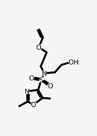 C=COCCN(CCO)S(=O)(=O)c1nc(C)oc1C